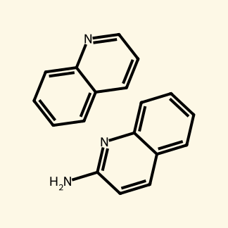 Nc1ccc2ccccc2n1.c1ccc2ncccc2c1